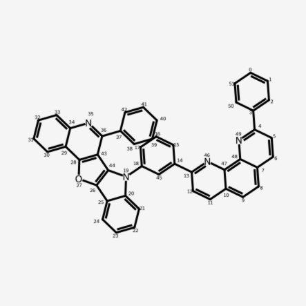 c1ccc(-c2ccc3ccc4ccc(-c5cccc(-n6c7ccccc7c7oc8c9ccccc9nc(-c9ccccc9)c8c76)c5)nc4c3n2)cc1